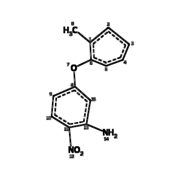 Cc1ccccc1Oc1ccc([N+](=O)[O-])c(N)c1